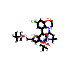 CC1(C)CC(N2CCOc3cc(Cl)cc(-c4ccnc5cc(CO[Si](C)(C)C(C)(C)C)sc45)c32)CN1S(=O)(=O)C(C)(C)C